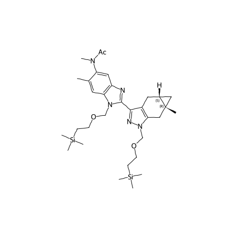 CC(=O)N(C)c1cc2nc(-c3nn(COCC[Si](C)(C)C)c4c3C[C@@H]3C[C@]3(C)C4)n(COCC[Si](C)(C)C)c2cc1C